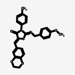 COc1ccc(C/N=C2\S/C(=C\c3ccc4c(c3)OCCO4)C(=O)N2c2ccc(C)cc2)cc1